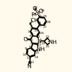 CCc1cc2c(=O)c3c4ccc(C#N)cc4[nH]c3n(C3CNC3)c2cc1-c1cccc(S(=O)(=O)F)c1